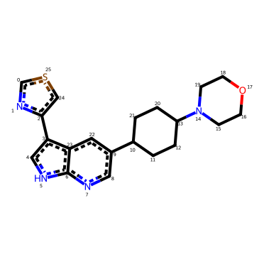 c1nc(-c2c[nH]c3ncc(C4CCC(N5CCOCC5)CC4)cc23)cs1